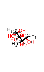 CC(O)(O)C(C)(O)C(O)(O)C(C)(O)O